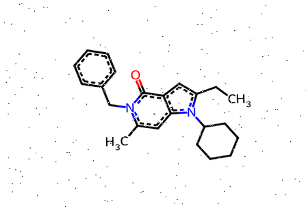 CCc1cc2c(=O)n(Cc3ccccc3)c(C)cc2n1C1CCCCC1